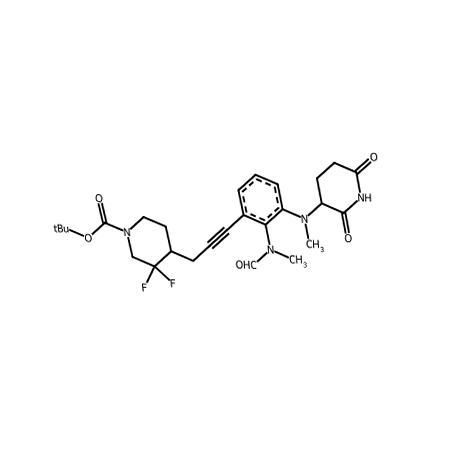 CN(C=O)c1c(C#CCC2CCN(C(=O)OC(C)(C)C)CC2(F)F)cccc1N(C)C1CCC(=O)NC1=O